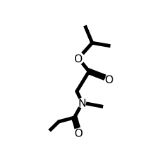 CCC(=O)N(C)CC(=O)OC(C)C